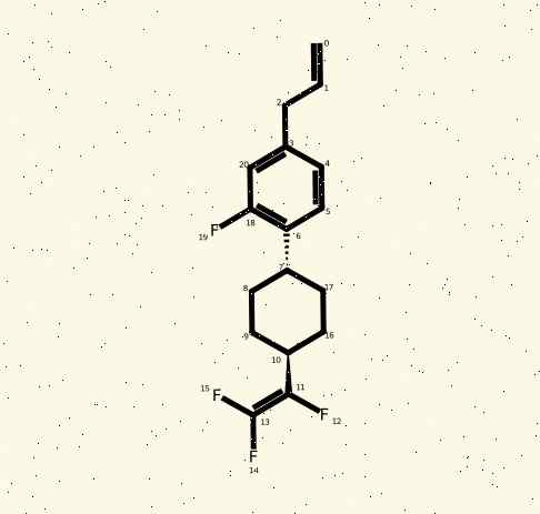 C=CCc1ccc([C@H]2CC[C@H](C(F)=C(F)F)CC2)c(F)c1